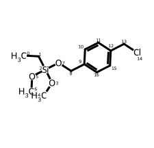 CC[Si](OC)(OC)OCc1ccc(CCl)cc1